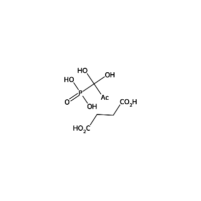 CC(=O)C(O)(O)P(=O)(O)O.O=C(O)CCC(=O)O